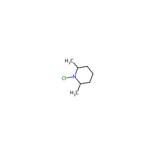 CC1CCCC(C)N1Cl